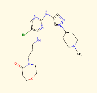 CN1CCC(n2cc(Nc3ncc(Br)c(NCCCN4CCOCCC4=O)n3)cn2)CC1